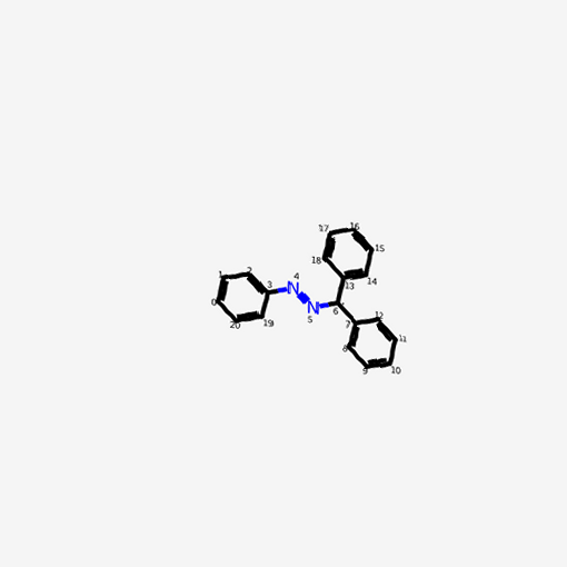 c1ccc(N=N[C](c2ccccc2)c2ccccc2)cc1